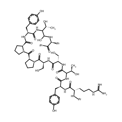 CC(C)N[C@@H](CCCNC(=N)N)C(=O)N[C@@H](Cc1ccc(O)cc1)C(=O)NC(C(=O)N[C@@H](CO)C(=O)N[C@@H](CS)C(=O)N1CCC[C@H]1C(=O)N1CCC[C@H]1C(=O)N[C@@H](Cc1ccc(O)cc1)C(=O)NC(C(O)N[C@H](C(=O)C(C)C)C(C)C)[C@@H](C)O)[C@@H](C)O